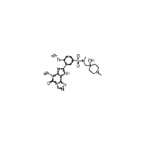 CCCOc1ccc(S(=O)(=O)N(C)CC2(O)CCN(C)CC2)cc1-c1nc2c([nH]1)c1nncn1c(=O)n2CCC